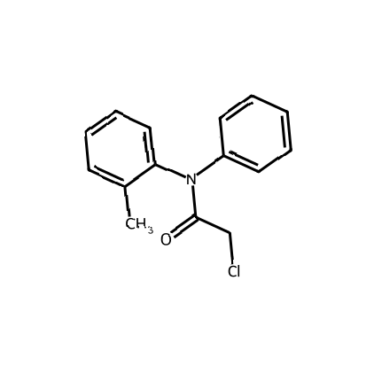 Cc1ccccc1N(C(=O)CCl)c1ccccc1